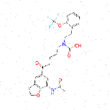 CC(=O)Nc1cc(C(=O)CCCCN(CCc2ccccc2OC(F)(F)F)C(=O)O)cc2c1OCC2